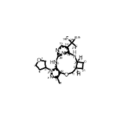 Cc1nn(C2CCOC2)c2c1OC[C@@H]1CC[C@H]1Nc1nc(ncc1C(F)(F)F)N2